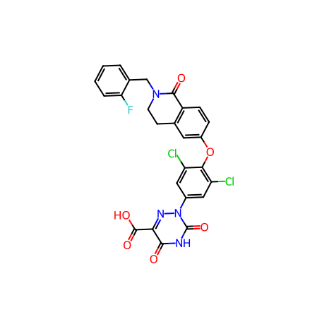 O=C(O)c1nn(-c2cc(Cl)c(Oc3ccc4c(c3)CCN(Cc3ccccc3F)C4=O)c(Cl)c2)c(=O)[nH]c1=O